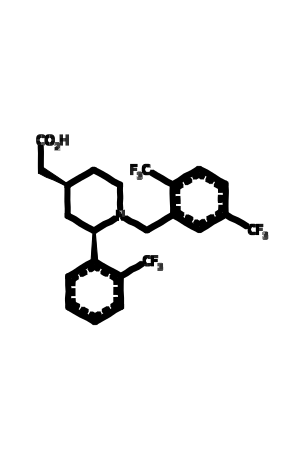 O=C(O)C[C@H]1CCN(Cc2cc(C(F)(F)F)ccc2C(F)(F)F)[C@@H](c2ccccc2C(F)(F)F)C1